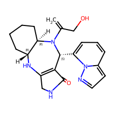 C=C(CO)N1[C@@H]2CCCC[C@H]2NC2=C(C(=O)NC2)[C@H]1c1cccc2ccnn12